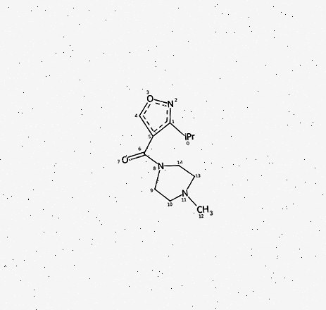 CC(C)c1nocc1C(=O)N1CCN(C)CC1